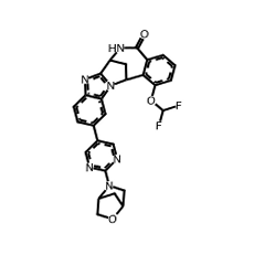 O=C1NC2CC(c3c(OC(F)F)cccc31)n1c2nc2ccc(-c3cnc(N4CC5CC4CO5)nc3)cc21